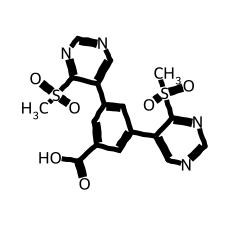 CS(=O)(=O)c1ncncc1-c1cc(C(=O)O)cc(-c2cncnc2S(C)(=O)=O)c1